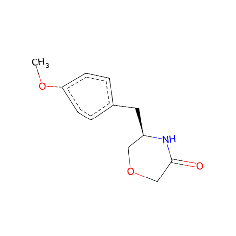 COc1ccc(C[C@@H]2COCC(=O)N2)cc1